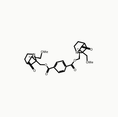 COC[C@@]1(COC(=O)c2ccc(C(=O)OC[C@]3(COC)C(=O)C4CCN3CC4)cc2)C(=O)C2CCN1CC2